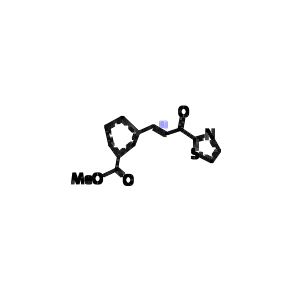 COC(=O)c1cccc(/C=C/C(=O)c2nccs2)c1